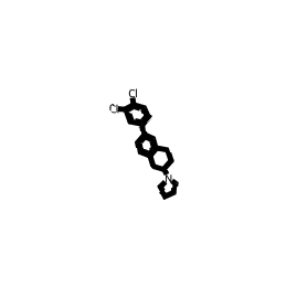 Clc1ccc(-c2ccc3c(c2)CCC(N2CCCC2)C3)cc1Cl